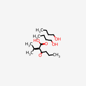 CCCC(=O)C(C(=O)O)=C(C)C.CCCCO.CCCCO